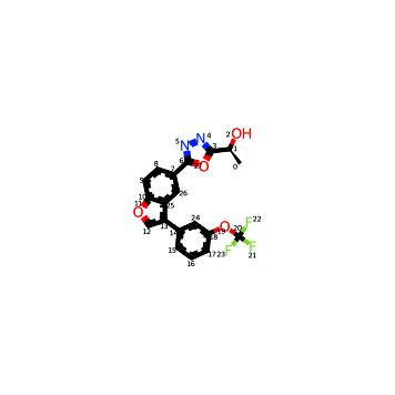 C[C@H](O)c1nnc(-c2ccc3occ(-c4cccc(OC(F)(F)F)c4)c3c2)o1